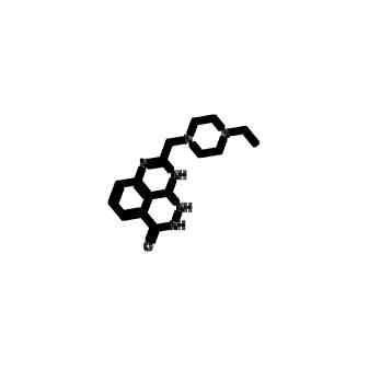 CCN1CCN(CC2=Nc3cccc4c3C(NNC4=O)N2)CC1